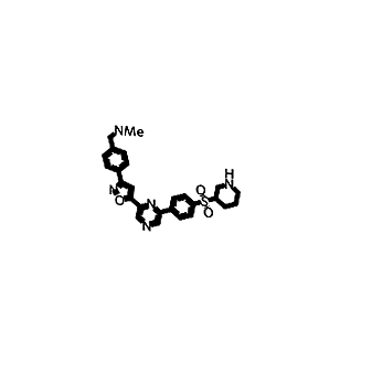 CNCc1ccc(-c2cc(-c3cncc(-c4ccc(S(=O)(=O)C5CCCNC5)cc4)n3)on2)cc1